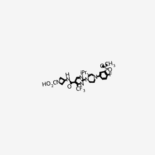 CC(C)[C@@H]1CN(c2ccc(F)c(S(C)(=O)=O)c2)CCN1c1ncc(C(=O)NC2CN(C(=O)O)C2)c(C(F)(F)F)n1